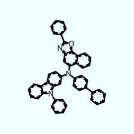 c1ccc(-c2ccc(N(c3ccc4c5ccccc5n(-c5ccccc5)c4c3)c3cc4nc(-c5ccccc5)oc4c4ccccc34)cc2)cc1